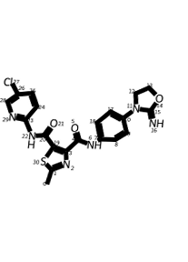 Cc1nc(C(=O)Nc2ccc(N3CCOC3=N)cc2)c(C(=O)Nc2ccc(Cl)cn2)s1